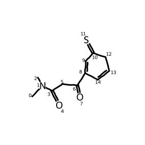 CN(C)C(=O)CC(=O)C1=CC(=S)CC=C1